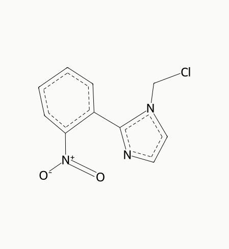 O=[N+]([O-])c1ccccc1-c1nccn1CCl